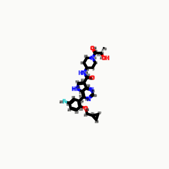 C[C@H](O)C(=O)N1CCC(NC(=O)c2c[nH]c3c(-c4cc(F)ccc4OCC4CC4)ncnc23)CC1